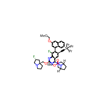 COCOc1cc(-c2c(C#C[Si](C(C)C)(C(C)C)C(C)C)cc3c(N4C[C@H]5CC[C@@H](C4)N5C(=O)OC(C)(C)C)nc(OC[C@@]45CCCN4C[C@H](F)C5)nc3c2F)c2ccccc2c1